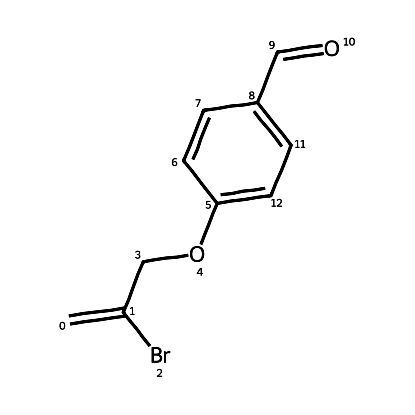 C=C(Br)COc1ccc(C=O)cc1